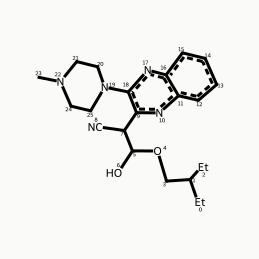 CCC(CC)COC(O)C(C#N)c1nc2ccccc2nc1N1CCN(C)CC1